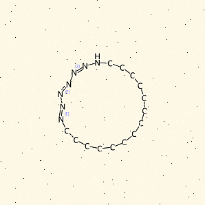 C1CCCCCCCN\N=N/N=N/N=N/CCCCCC1